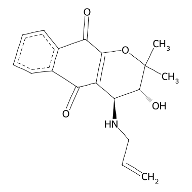 C=CCN[C@H]1C2=C(OC(C)(C)[C@@H]1O)C(=O)c1ccccc1C2=O